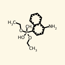 CCOP(C)(O)(OCC)c1ccc(N)c2ccccc12